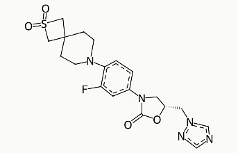 O=C1O[C@@H](Cn2cncn2)CN1c1ccc(N2CCC3(CC2)CS(=O)(=O)C3)c(F)c1